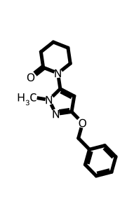 Cn1nc(OCc2ccccc2)cc1N1CCCCC1=O